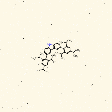 CC(C)c1cc(C(C)C)c(-c2c[c]c3[nH]c4ccc(-c5c(C(C)C)cc(C(C)C)cc5C(C)C)cc4c3c2)c(C(C)C)c1